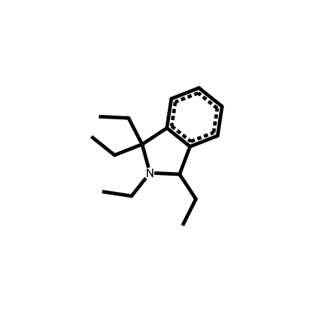 CCC1c2ccccc2C(CC)(CC)N1CC